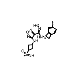 CS(=N)(=O)C1CC(Nc2nonc2C(=NO)N[C@H]2Cc3ccc(F)cc32)C1